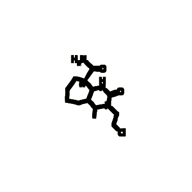 CC1C2CCCC[C@@H](C(N)=O)C2NC(=O)N1CCCl